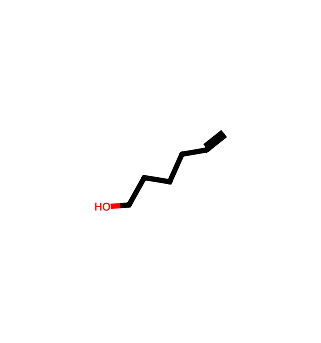 C=[C]CCCCO